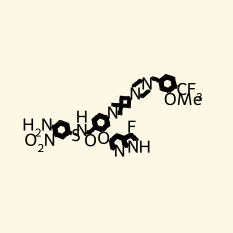 COc1cc(CN2CCN(C3CC4(C3)CN(c3ccc(C(=O)NSc5ccc(N)c([N+](=O)[O-])c5)c(Oc5cnc6[nH]cc(F)c6c5)c3)C4)CC2)ccc1C(F)(F)F